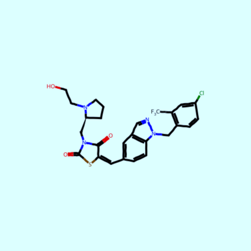 O=C1SC(=Cc2ccc3c(cnn3Cc3ccc(Cl)cc3C(F)(F)F)c2)C(=O)N1C[C@@H]1CCCN1CCO